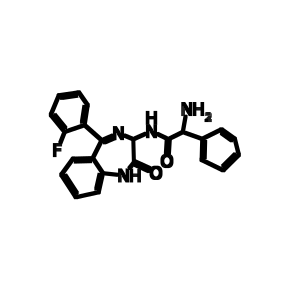 NC(C(=O)NC1N=C(c2ccccc2F)c2ccccc2NC1=O)c1ccccc1